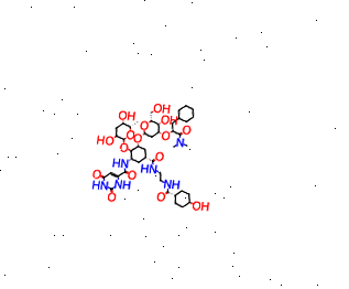 C[C@@H]1O[C@@H](O[C@@H]2[C@@H](NC(=O)c3cc(=O)[nH]c(=O)[nH]3)C[C@@H](C(=O)NCCNC(=O)[C@H]3CC[C@H](O)CC3)C[C@H]2O[C@H]2C[C@@H](O[C@@H](CC3CCCCC3)C(=O)N(C)C)[C@@H](O)[C@@H](CO)O2)[C@@H](O)C[C@@H]1O